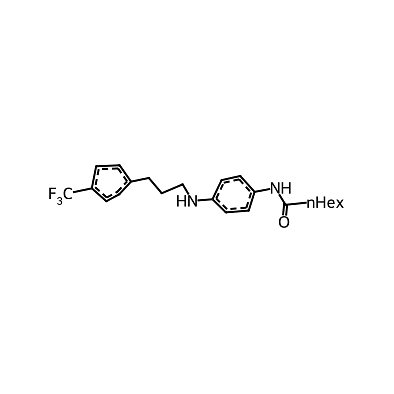 CCCCCCC(=O)Nc1ccc(NCCCc2ccc(C(F)(F)F)cc2)cc1